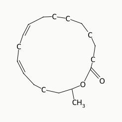 CC1CCCC=CCC=CCCCCCCCC(=O)O1